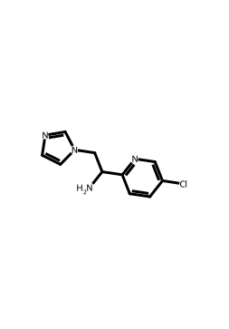 NC(Cn1ccnc1)c1ccc(Cl)cn1